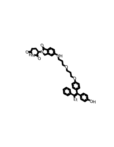 CCC(=C(c1ccc(O)cc1)c1ccc(OCCCOCCCNc2ccc3c(c2)CN(C2CCC(=O)NC2=O)C3=O)cc1)c1ccccc1